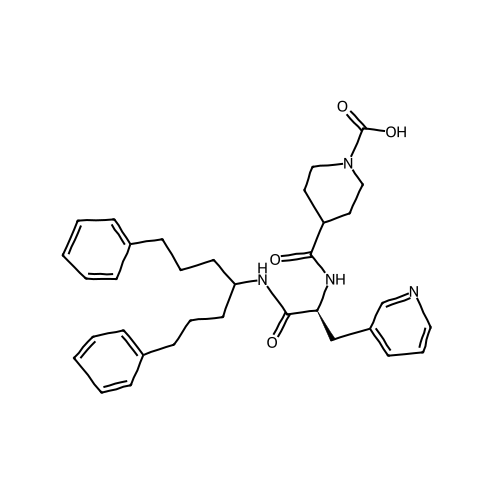 O=C(N[C@@H](Cc1cccnc1)C(=O)NC(CCCc1ccccc1)CCCc1ccccc1)C1CCN(C(=O)O)CC1